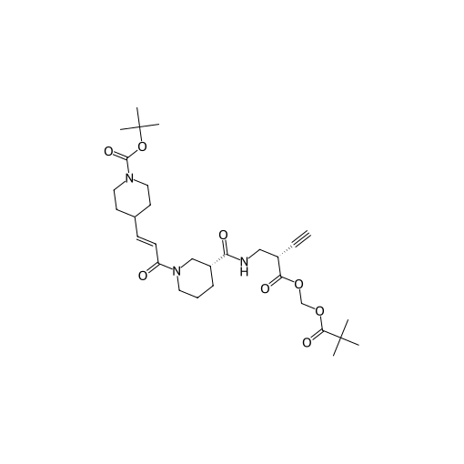 C#C[C@@H](CNC(=O)[C@@H]1CCCN(C(=O)/C=C/C2CCN(C(=O)OC(C)(C)C)CC2)C1)C(=O)OCOC(=O)C(C)(C)C